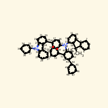 CC1(C)c2ccccc2-c2cccc(N(c3ccc(-c4cccc5c4c4ccccc4n5-c4ccccc4)cc3)c3ccc(-c4ccccc4)cc3-c3ccccc3)c21